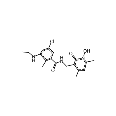 CCNc1cc(Cl)cc(C(=O)NCc2c(C)cc(C)n(O)c2=O)c1C